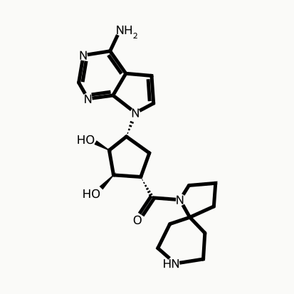 Nc1ncnc2c1ccn2[C@@H]1C[C@H](C(=O)N2CCCC23CCNCC3)[C@@H](O)[C@H]1O